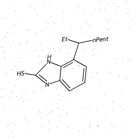 CCCCCC(CC)c1cccc2nc(S)[nH]c12